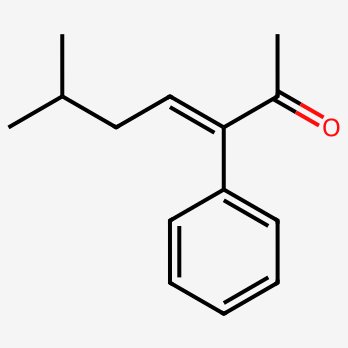 CC(=O)/C(=C/CC(C)C)c1ccccc1